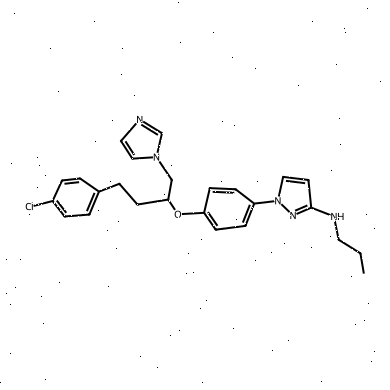 CCCNc1ccn(-c2ccc(OC(CCc3ccc(Cl)cc3)Cn3ccnc3)cc2)n1